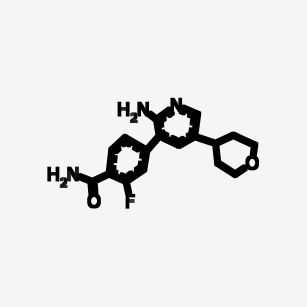 NC(=O)c1ccc(-c2cc(C3CCOCC3)cnc2N)cc1F